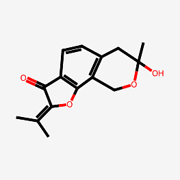 CC(C)=C1Oc2c(ccc3c2COC(C)(O)C3)C1=O